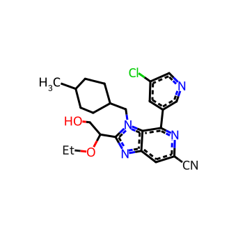 CCOC(CO)c1nc2cc(C#N)nc(-c3cncc(Cl)c3)c2n1CC1CCC(C)CC1